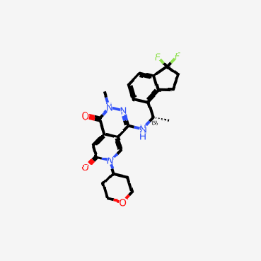 C[C@H](Nc1nn(C)c(=O)c2cc(=O)n(C3CCOCC3)cc12)c1cccc2c1CCC2(F)F